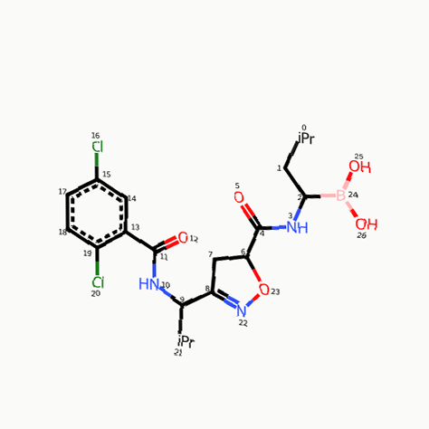 CC(C)CC(NC(=O)C1CC(C(NC(=O)c2cc(Cl)ccc2Cl)C(C)C)=NO1)B(O)O